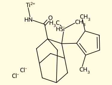 CC1=C(C2([SiH](C)C)C3CC4CC(C3)CC2(C(=O)[NH][Ti+2])C4)C(C)C=C1.[Cl-].[Cl-]